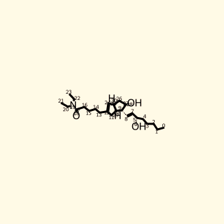 CCCCC[C@H](O)/C=C/[C@@H]1[C@H]2CC(CCCCC(=O)N(CC)CC)=C[C@H]2C[C@H]1O